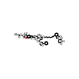 CC(C)(C)C(=O)OCOP(=O)(O)C(F)(F)c1ccc2sc(C(=O)NC(C(=O)N3C[C@@H](OCCCCCC#Cc4cccc5c4CN(C4CCC(=O)NC4=O)C5=O)C[C@H]3C(=O)N3CCO[C@H](c4ccccc4)C3)C(C)(C)C)cc2c1